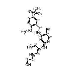 COc1ccc(S(C)(=O)=O)cc1CNc1nc(N/C(C=N)=C/NCCO)ncc1F